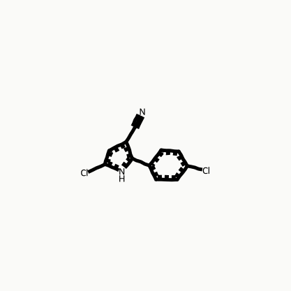 N#Cc1cc(Cl)[nH]c1-c1ccc(Cl)cc1